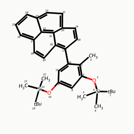 Cc1c(O[Si](C)(C)C(C)(C)C)cc(O[Si](C)(C)C(C)(C)C)cc1-c1ccc2ccc3cccc4ccc1c2c34